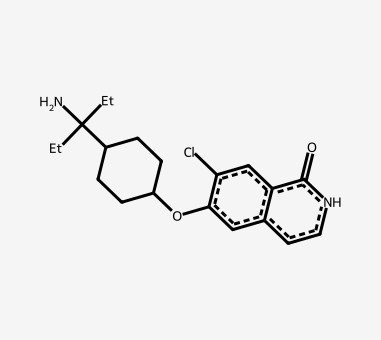 CCC(N)(CC)C1CCC(Oc2cc3cc[nH]c(=O)c3cc2Cl)CC1